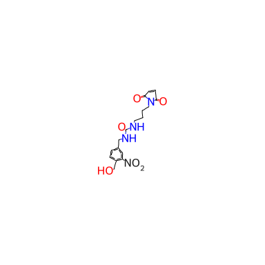 O=C(NCCCCN1C(=O)C=CC1=O)NCc1ccc(CO)c([N+](=O)[O-])c1